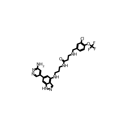 Nc1cc(-c2cc(NCCCNC(=O)CCNCc3ccc(OC(F)(F)F)c(Cl)c3)c3cn[nH]c3c2)cnn1